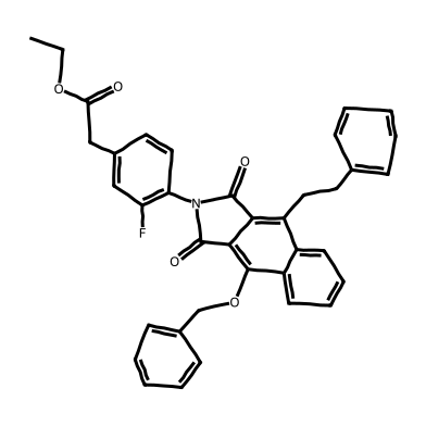 CCOC(=O)Cc1ccc(N2C(=O)c3c(c(OCc4ccccc4)c4ccccc4c3CCc3ccccc3)C2=O)c(F)c1